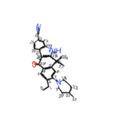 CCc1cc2c(cc1N1CCC(C)CC1)C(C)(C)c1[nH]c3cc(C#N)ccc3c1C2=O